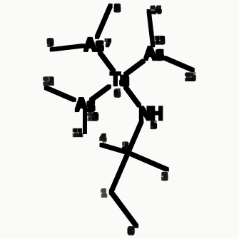 CCC(C)(C)[NH][Ta]([As](C)C)([As](C)C)[As](C)C